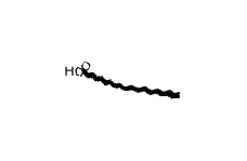 C=CCCCCCCCCCCCCCCC=CC(=O)O